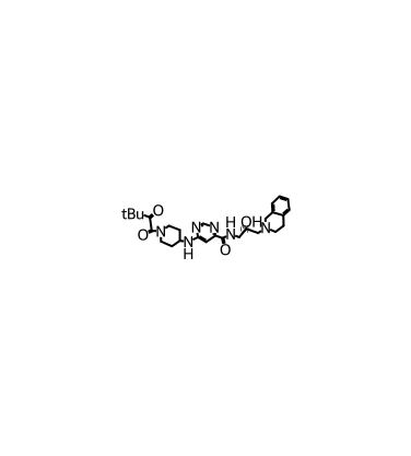 CC(C)(C)C(=O)C(=O)N1CCC(Nc2cc(C(=O)NC[C@H](O)CN3CCc4ccccc4C3)ncn2)CC1